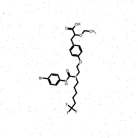 CCOC(Cc1ccc(OCCN(CCCCCC(F)(F)F)C(=O)Nc2ccc(Br)cc2)cc1)C(=O)O